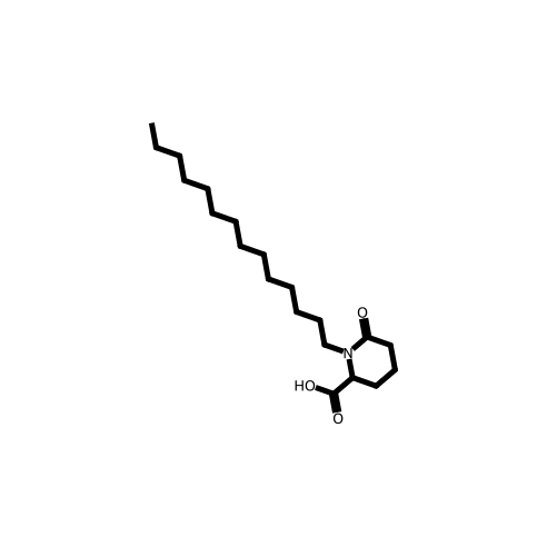 CCCCCCCCCCCCCCN1C(=O)CCCC1C(=O)O